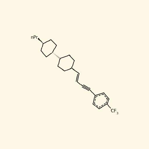 CCC[C@H]1CC[C@H](C2CCC(C=CC#Cc3ccc(C(F)(F)F)cc3)CC2)CC1